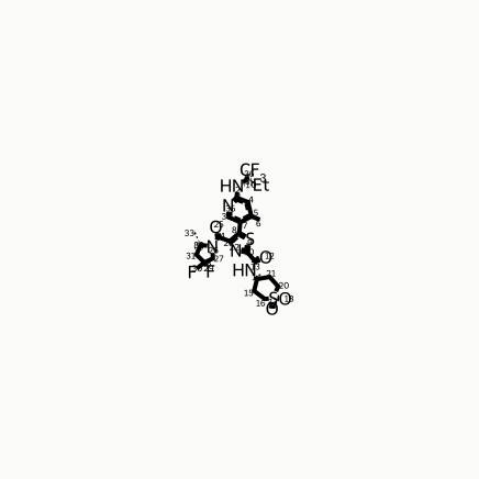 CC[C@H](Nc1cc(C)c(-c2sc(C(=O)NC3CCS(=O)(=O)CC3)nc2C(=O)N2CC(F)(F)C[C@@H]2C)cn1)C(F)(F)F